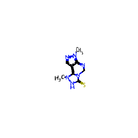 CN1NC(=S)N2CN=c3c(cnn3C)=C12